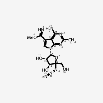 COC(=N)c1cn([C@@H]2OC(CO)(N=[N+]=[N-])[C@@H](O)[C@H]2O)c2nc(C)nc(N)c12